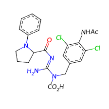 CC(=O)Nc1c(Cl)cc(CN(C(=O)O)C(N)=NC(=O)C2CCCN2c2ccccc2)cc1Cl